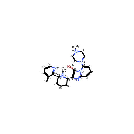 CCN1[C@@H](c2nc3cccc(N4CCN(C(C)C)CC4)n3c2Br)CCC[C@H]1c1ncccc1C